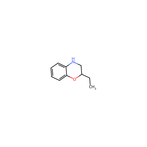 CCC1CNc2ccccc2O1